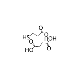 O=C(O)CCC(=O)O.O=C(O)CCS